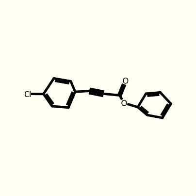 O=C(C#Cc1ccc(Cl)cc1)Oc1ccccc1